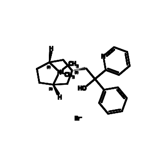 C[N+]1(C)[C@@H]2CC[C@H]1C[C@@H](CC(O)(c1ccccc1)c1ccccn1)C2.[Br-]